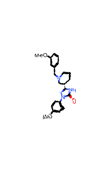 COc1ccc(-n2nc([C@H]3CCCN(Cc4cccc(OC)c4)C3)[nH]c2=O)cc1